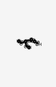 Cc1cc(C(=O)O)ccc1-c1cccc(OCc2ccc(COC(=O)c3ccccc3)c(COC(=O)c3ccccc3)c2)c1C